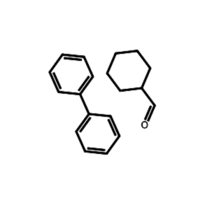 O=CC1CCCCC1.c1ccc(-c2ccccc2)cc1